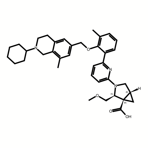 COC[C@H]1N(c2cccc(-c3cccc(C)c3OCc3cc(C)c4c(c3)CCN(C3CCCCC3)C4)n2)C[C@@H]2C[C@@]21C(=O)O